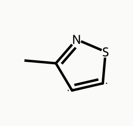 Cc1[c][c]sn1